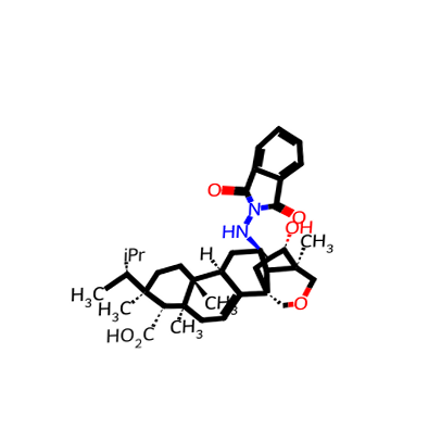 CC(C)[C@@H](C)[C@@]1(C)CC[C@]2(C)[C@H]3CCC4[C@@]5(COC[C@]4(C)[C@@H](O)[C@H](NN4C(=O)c6ccccc6C4=O)C5)C3=CC[C@@]2(C)[C@@H]1C(=O)O